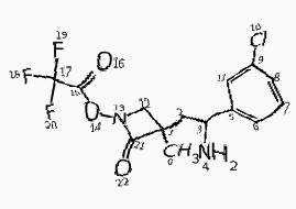 CC1(CC(N)c2cccc(Cl)c2)CN(OC(=O)C(F)(F)F)C1=O